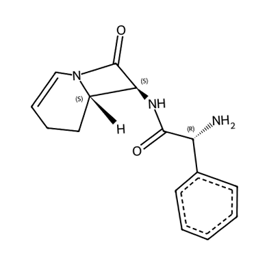 N[C@@H](C(=O)N[C@@H]1C(=O)N2C=CCC[C@@H]12)c1ccccc1